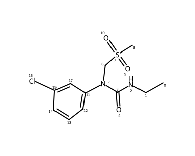 CCNC(=O)N(CS(C)(=O)=O)c1cccc(Cl)c1